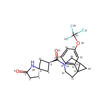 O=C1CC[C@]2(C[C@H](C(=O)N3CCC4(c5cccc(OC(F)(F)F)c5)CC4C3)C2)N1